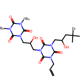 C=CCn1c(=O)n(CC(O)Cn2c(=O)n(CCCC)c(=O)n(C(C)CC)c2=O)c(=O)n(CC(O)CC(C)(C)CC)c1=O